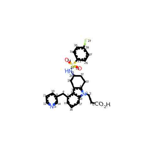 O=C(O)CCn1c2c(c3c(Cc4cccnc4)cccc31)CC(NS(=O)(=O)c1ccc(F)cc1)CC2